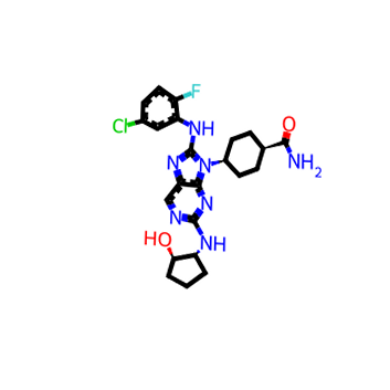 NC(=O)[C@H]1CC[C@@H](n2c(Nc3cc(Cl)ccc3F)nc3cnc(N[C@@H]4CCC[C@H]4O)nc32)CC1